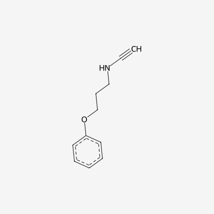 C#CNCCCOc1ccccc1